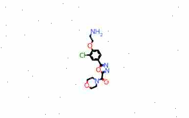 NCCOc1ccc(-c2nnc(C(=O)N3CCOCC3)o2)cc1Cl